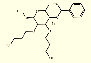 CCCCOC1C(OCCCC)[C@@H]2OC(c3ccccc3)OCC2O[C@@H]1OC